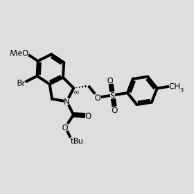 COc1ccc2c(c1Br)CN(C(=O)OC(C)(C)C)[C@H]2COS(=O)(=O)c1ccc(C)cc1